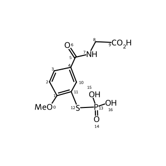 COc1ccc(C(=O)NCC(=O)O)cc1SP(=O)(O)O